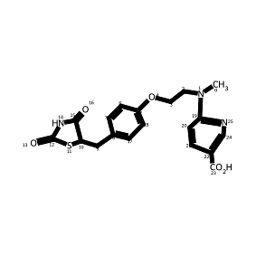 CN(CCOc1ccc(CC2SC(=O)NC2=O)cc1)c1ccc(C(=O)O)cn1